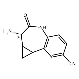 N#Cc1ccc2c(c1)C1CC1[C@H](N)C(=O)N2